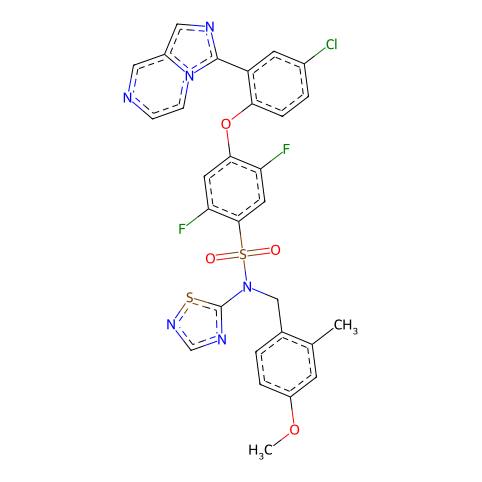 COc1ccc(CN(c2ncns2)S(=O)(=O)c2cc(F)c(Oc3ccc(Cl)cc3-c3ncc4cnccn34)cc2F)c(C)c1